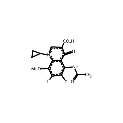 COc1c(F)c(F)c(NC(=O)C(F)(F)F)c2c(=O)c(C(=O)O)cn(C3CC3)c12